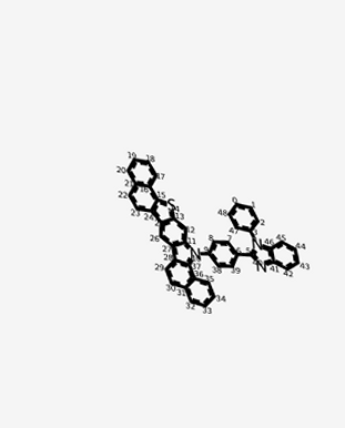 c1ccc(-n2c(-c3ccc(-n4c5cc6sc7c8ccccc8ccc7c6cc5c5ccc6ccccc6c54)cc3)nc3ccccc32)cc1